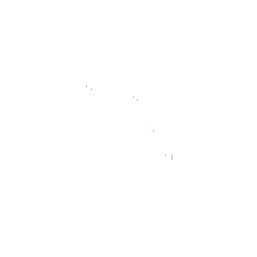 CCOC(=O)NC(=S)Nc1ccc(N2CCC2)cn1